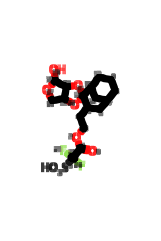 O=C(OCCC1CC2CCCC(C2)C12OC1COC(O)C1O2)C(F)(F)S(=O)(=O)O